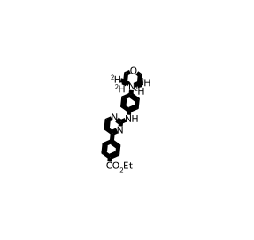 [2H]C1([2H])COCC([2H])([2H])N1c1ccc(Nc2nccc(-c3ccc(C(=O)OCC)cc3)n2)cc1